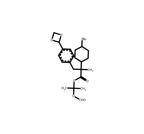 CC(C)(OC=O)OC(=O)C(C)(Cc1ccc(C2OCO2)cc1)C1CCC(C(C)(C)C)CC1